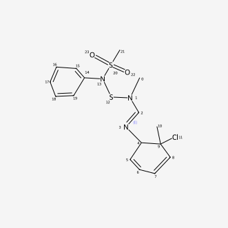 CN(/C=N/C1C=CC=CC1(C)Cl)SN(c1ccccc1)S(C)(=O)=O